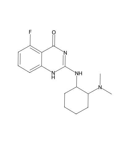 CN(C)C1CCCCC1Nc1nc(=O)c2c(F)cccc2[nH]1